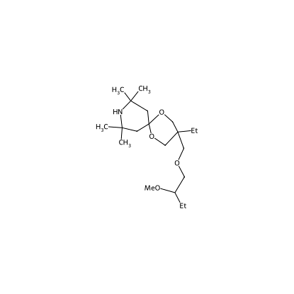 CCC(COCC1(CC)COC2(CC(C)(C)NC(C)(C)C2)OC1)OC